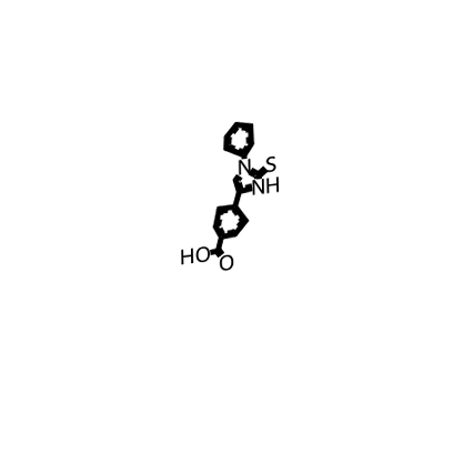 O=C(O)c1ccc(-c2cn(-c3ccccc3)c(=S)[nH]2)cc1